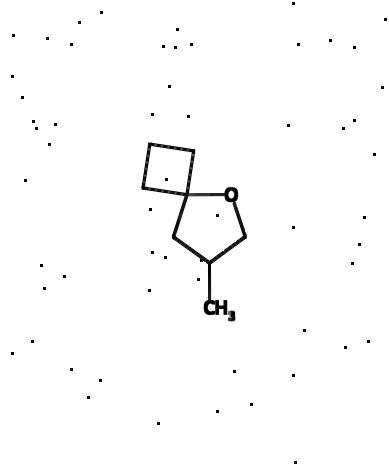 CC1COC2(CCC2)C1